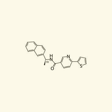 C[C@H](NC(=O)c1ccc(-c2cccs2)nc1)c1ccc2ccccc2c1